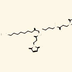 NCCCCCCCC(=O)[C@H](CCCCNC(=O)CCN1C(=O)C=CC1=O)NC(=O)CCN1C(=O)C=CC1=O